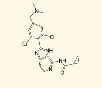 CN(C)Cc1cc(Cl)c(-c2nc3ccnc(NC(=O)C4CC4)c3[nH]2)c(Cl)c1